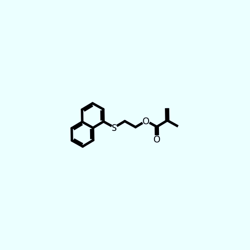 C=C(C)C(=O)OCCSc1cccc2ccccc12